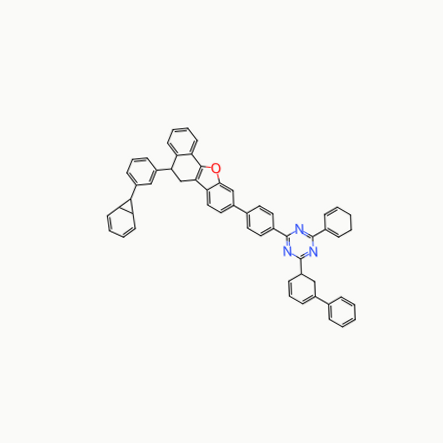 C1=CC(c2nc(C3=CCCC=C3)nc(-c3ccc(-c4ccc5c6c(oc5c4)-c4ccccc4C(c4cccc(C5C7C=CC=CC75)c4)C6)cc3)n2)CC(c2ccccc2)=C1